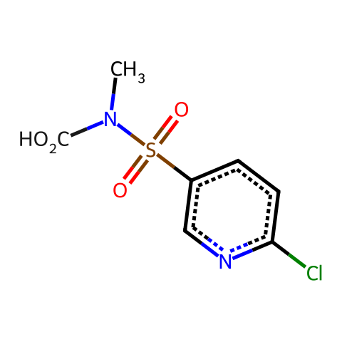 CN(C(=O)O)S(=O)(=O)c1ccc(Cl)nc1